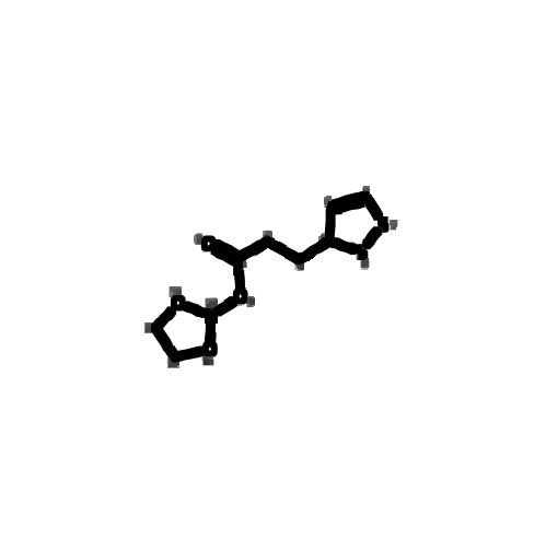 O=C(CCC1C=CSS1)ON1OCCO1